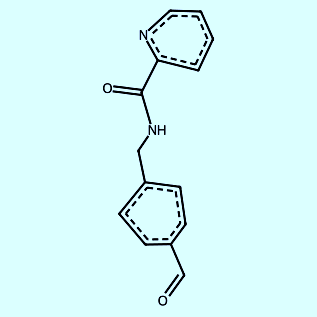 O=Cc1ccc(CNC(=O)c2ccccn2)cc1